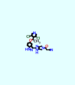 CC(Oc1ccc2[nH]nc(-c3nc4c([nH]3)CN(C(=O)CC#N)C4)c2c1)c1c(Cl)cncc1Cl